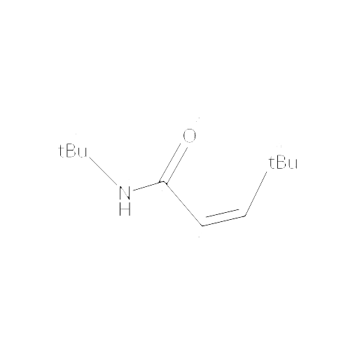 CC(C)(C)/C=C\C(=O)NC(C)(C)C